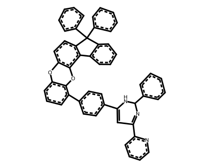 C1=C(c2ccc(-c3cccc4c3Oc3c(ccc5c3-c3ccccc3C5(c3ccccc3)c3ccccc3)O4)cc2)NC(c2ccccc2)N=C1c1ccccn1